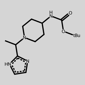 CC(c1ncc[nH]1)N1CCC(NC(=O)OC(C)(C)C)CC1